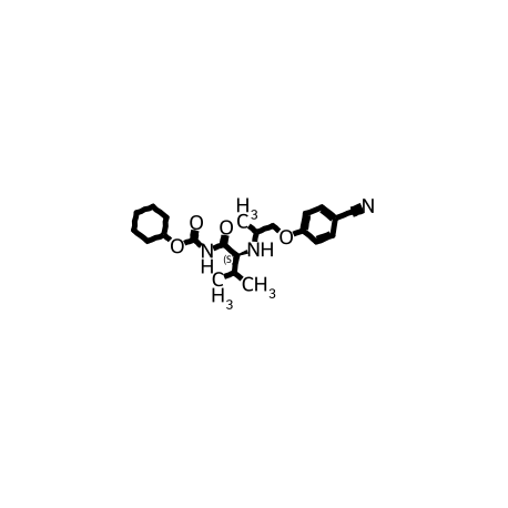 CC(COc1ccc(C#N)cc1)N[C@H](C(=O)NC(=O)OC1CCCCC1)C(C)C